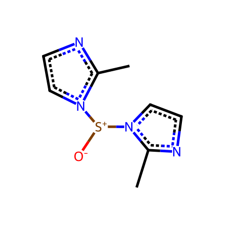 Cc1nccn1[S+]([O-])n1ccnc1C